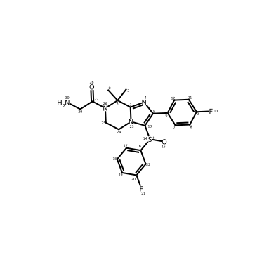 CC1(C)c2nc(-c3ccc(F)cc3)c([S+]([O-])c3cccc(F)c3)n2CCN1C(=O)CN